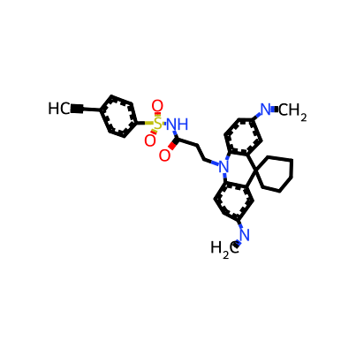 C#Cc1ccc(S(=O)(=O)NC(=O)CCN2c3ccc(N=C)cc3C3(CCCCC3)c3cc(N=C)ccc32)cc1